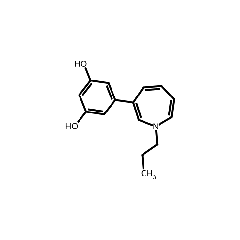 CCCN1C=CC=CC(c2cc(O)cc(O)c2)=C1